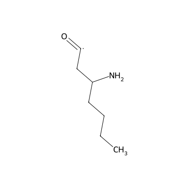 CCCCC(N)C[C]=O